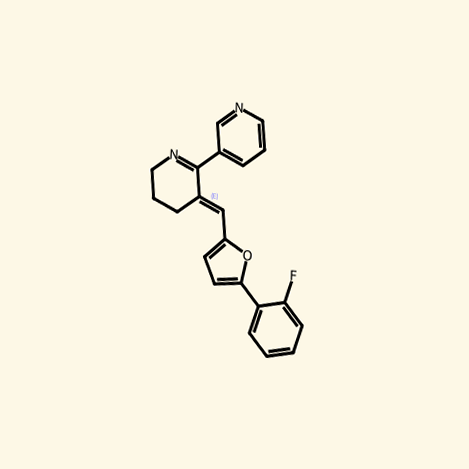 Fc1ccccc1-c1ccc(/C=C2\CCCN=C2c2cccnc2)o1